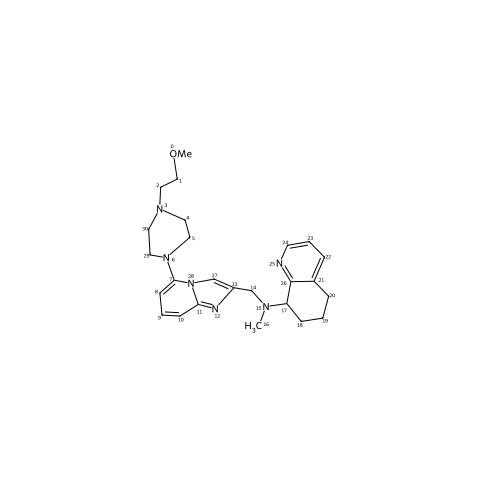 COCCN1CCN(c2cccc3nc(CN(C)C4CCCc5cccnc54)cn23)CC1